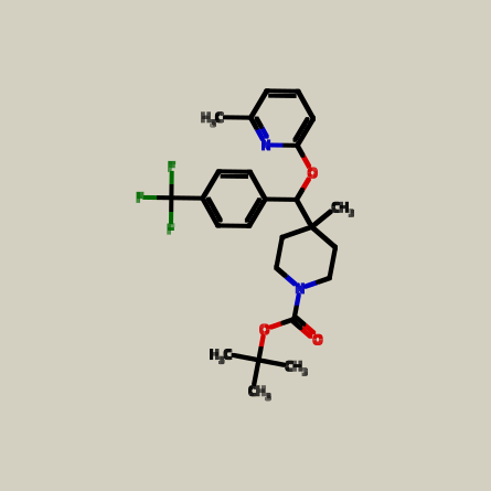 Cc1cccc(OC(c2ccc(C(F)(F)F)cc2)C2(C)CCN(C(=O)OC(C)(C)C)CC2)n1